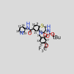 CC(C)(C)OC(=O)N[C@H]1CSc2ccc(C(=O)Nc3cccnc3)cc2N(Cc2ccc(OC(F)(F)F)cc2)C1=O